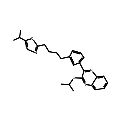 CC(C)Oc1nc2ccccc2nc1-c1cccc(CCCCc2nnc(C(C)C)o2)c1